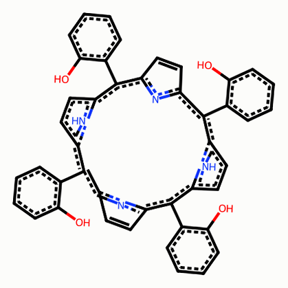 Oc1ccccc1-c1c2nc(c(-c3ccccc3O)c3ccc([nH]3)c(-c3ccccc3O)c3nc(c(-c4ccccc4O)c4ccc1[nH]4)C=C3)C=C2